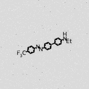 CCNc1ccc(-c2ccc(N=Nc3ccc(C(F)(F)F)cc3)cc2)cc1